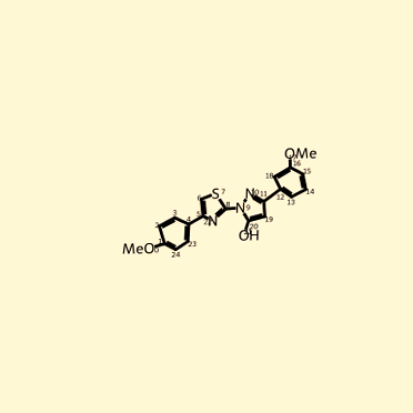 COc1ccc(-c2csc(-n3nc(-c4cccc(OC)c4)cc3O)n2)cc1